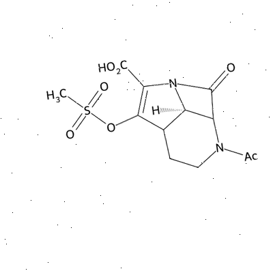 CC(=O)N1CCC2C(OS(C)(=O)=O)=C(C(=O)O)N3C(=O)C1[C@@H]23